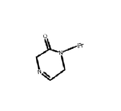 CC(C)N1CC=NCC1=O